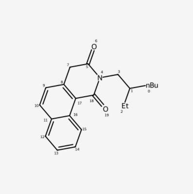 CCCCC(CC)CN1C(=O)Cc2ccc3ccccc3c2C1=O